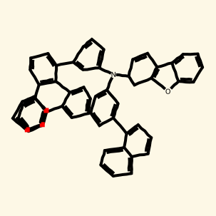 C1=CC(N(c2cccc(-c3cccc(-c4ccccc4)c3-c3ccccc3-c3ccccc3)c2)c2cccc(-c3cccc4ccccc34)c2)Cc2oc3ccccc3c21